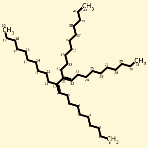 CCCCCCCCCC=C(CCCCCCCCCC)C(=CCCCCCCCCC)CCCCCCCCCC